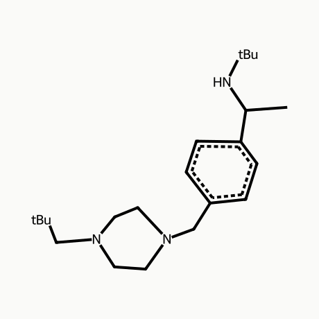 CC(NC(C)(C)C)c1ccc(CN2CCN(CC(C)(C)C)CC2)cc1